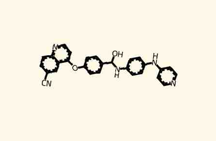 N#Cc1ccc2nccc(Oc3ccc(C(O)Nc4ccc(Nc5ccncc5)cc4)cc3)c2c1